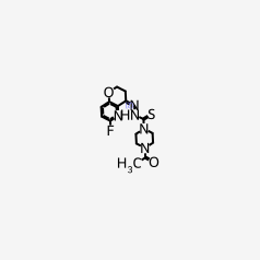 CC(=O)N1CCN(C(=S)N/N=C2/CCOc3ccc(F)nc32)CC1